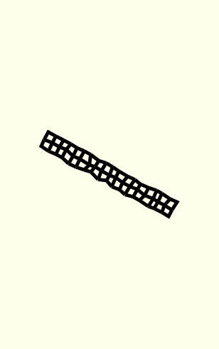 C1C2CC3C4C5C6C7C8C9C%10C%11C%12C%13C%14C%15C%16C%17C%18C%19CC%20CC%21C%22C%23C%24C%25C%26C%27C%28C%29C%30C%31C%32C%33C%34C%35C%36C1C23C%364C%355C%346C%337C%328C%319C%30%10C%29%11C%28%12C%27%13C%26%14C%25%15C%24%16C%23%17C%22%18C%20%21%19